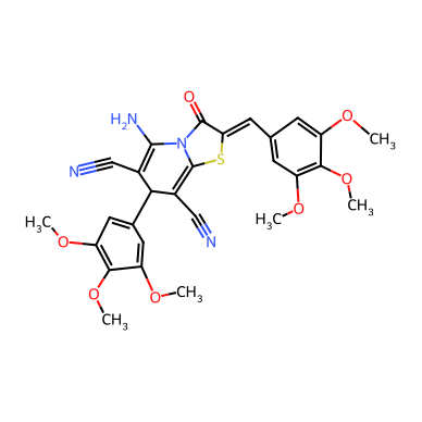 COc1cc(C=c2sc3n(c2=O)C(N)=C(C#N)C(c2cc(OC)c(OC)c(OC)c2)C=3C#N)cc(OC)c1OC